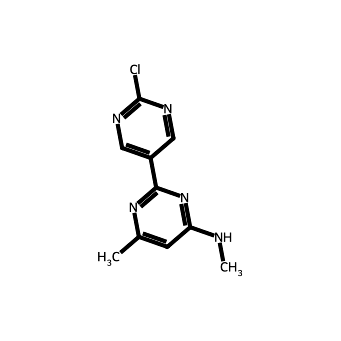 CNc1cc(C)nc(-c2cnc(Cl)nc2)n1